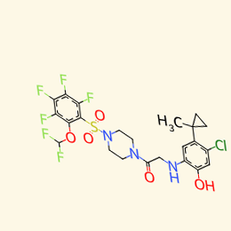 CC1(c2cc(NCC(=O)N3CCN(S(=O)(=O)c4c(F)c(F)c(F)c(F)c4OC(F)F)CC3)c(O)cc2Cl)CC1